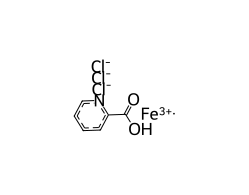 O=C(O)c1ccccn1.[Cl-].[Cl-].[Cl-].[Fe+3]